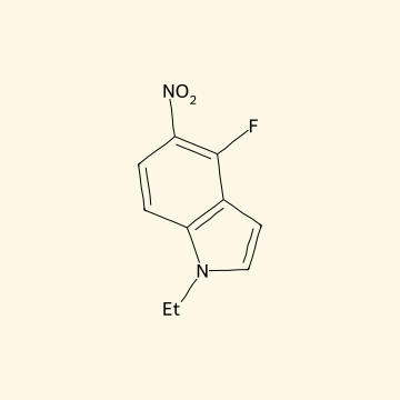 CCn1ccc2c(F)c([N+](=O)[O-])ccc21